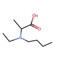 CCCCN(CC)C(C)C(=O)O